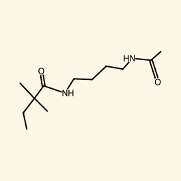 CCC(C)(C)C(=O)NCCCCNC(C)=O